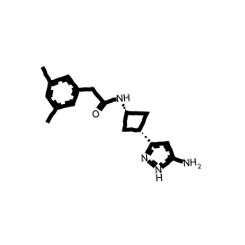 Cc1cc(C)cc(CC(=O)N[C@H]2C[C@@H](c3cc(N)[nH]n3)C2)c1